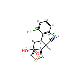 CC(C#N)(c1ccsc1)C(CC(=O)O)c1c(F)cccc1F